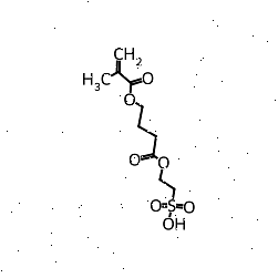 C=C(C)C(=O)OCCCC(=O)OCCS(=O)(=O)O